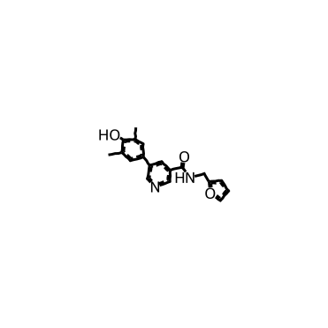 Cc1cc(-c2cncc(C(=O)NCc3ccco3)c2)cc(C)c1O